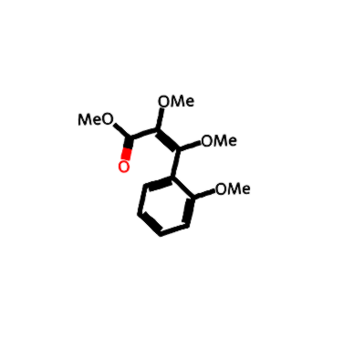 COC(=O)C(OC)=C(OC)c1ccccc1OC